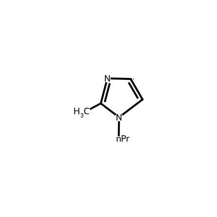 CCCn1c[c]nc1C